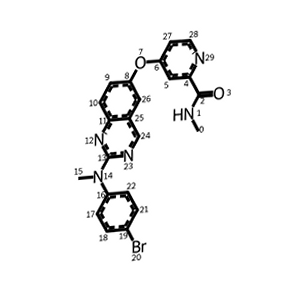 CNC(=O)c1cc(Oc2ccc3nc(N(C)c4ccc(Br)cc4)ncc3c2)ccn1